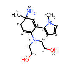 Cn1cccc1C1=CC(C)(N)CC=C1N(CCO)CCO